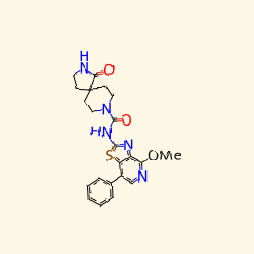 COc1ncc(-c2ccccc2)c2sc(NC(=O)N3CCC4(CCNC4=O)CC3)nc12